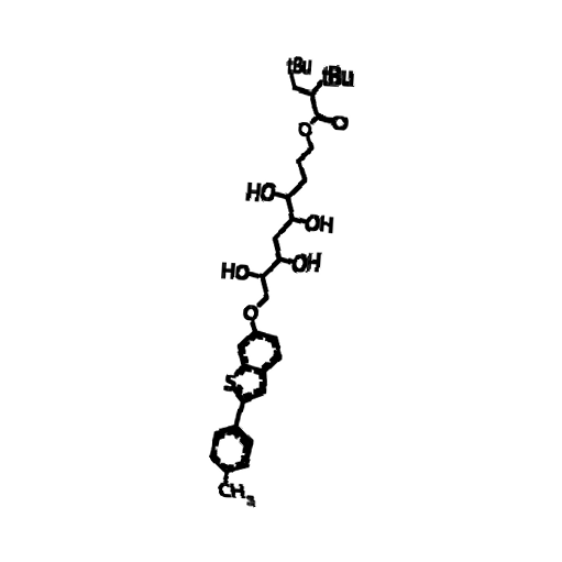 Cc1ccc(-c2cc3ccc(OCC(O)C(O)CC(O)C(O)CCCOC(=O)C(CC(C)(C)C)C(C)(C)C)cc3s2)cc1